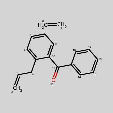 C=C.C=CCc1ccccc1C(=O)c1ccccc1